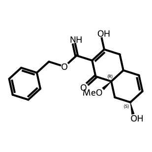 CO[C@]12C[C@H](O)C=CC1CC(O)=C(C(=N)OCc1ccccc1)C2=O